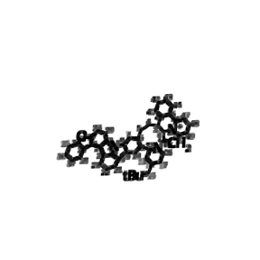 C=C1C2C(CCc3cc4c(cc3-c3cc(CC(C)(C)C)cc[n+]31)c1cccc3c5c6c(ccc5n4c13)oc1ccccc16)c1ccccc1-c1cccc[n+]12